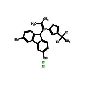 CCC(C)(CC)C1=CC[C]([Zr+2](=[C](C)C)[CH]2c3ccc(C(C)(C)C)cc3-c3cc(C(C)(C)C)ccc32)=C1.[Cl-].[Cl-]